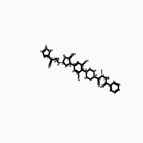 C[C@H](NC(=O)c1cccnc1)C(=O)N1CCN(c2c(F)cc(N3C[C@H](CNC(=O)c4ccno4)OC3=O)cc2F)CC1